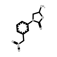 CC1CN(c2cccc(C[SH](=O)=O)c2)C(=O)O1